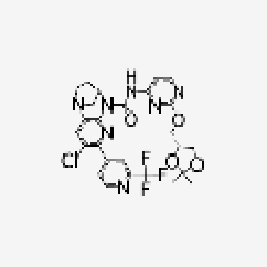 CC1(C)OC[C@@H](COc2nccc(NC(=O)N3c4nc(-c5ccnc(C(F)(F)F)c5)c(Cl)cc4N4CCC3C4)n2)O1